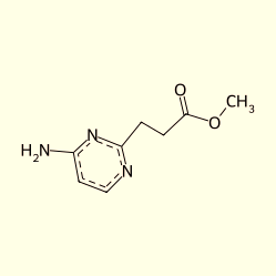 COC(=O)CCc1nccc(N)n1